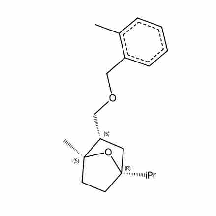 Cc1ccccc1COC[C@@H]1C[C@@]2(C(C)C)CC[C@]1(C)O2